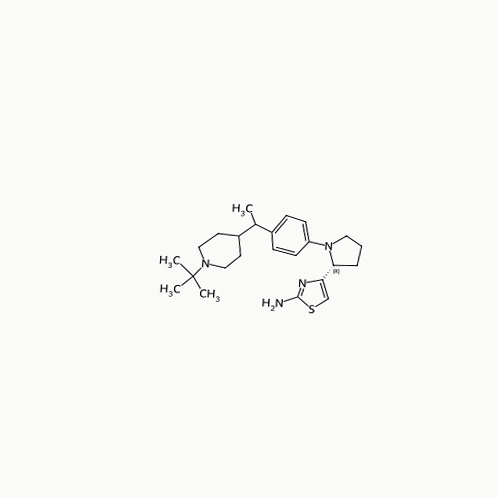 CC(c1ccc(N2CCC[C@@H]2c2csc(N)n2)cc1)C1CCN(C(C)(C)C)CC1